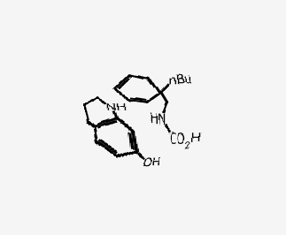 CCCCC1(CNC(=O)O)C=CC=CC1.Oc1ccc2c(c1)NCCC2